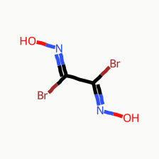 ON=C(Br)C(Br)=NO